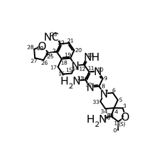 C[C@@H]1OCC2(CCN(c3cnc(C(=N)N4CCCc5c4ccc(C#N)c5[C@H]4CCCO4)c(N)n3)CC2)[C@@H]1N